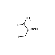 N=C(CI)N(N)I